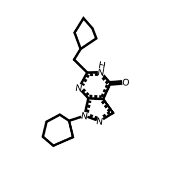 O=c1[nH]c(CC2CCCC2)nc2c1cnn2C1CCCCC1